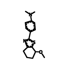 COC1CCCc2nc(-c3ccc(N(C)C)cc3)sc21